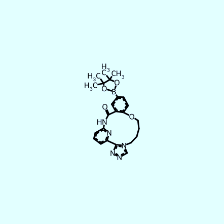 CC1(C)OB(c2ccc3c(c2)C(=O)Nc2cccc(n2)-c2nncn2CCCCO3)OC1(C)C